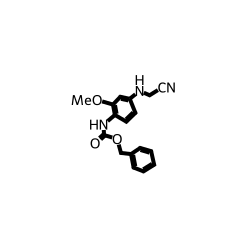 COc1cc(NCC#N)ccc1NC(=O)OCc1ccccc1